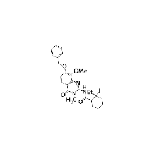 CCC1(I)CCCCC1C(=O)Nc1nc2c(OC)c(OCc3ccccc3)ccc2c(=O)n1C